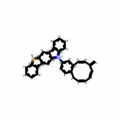 C=C1/C=C\C=C/Cc2ccc(-n3c4ccccc4c4cc5sc6ccccc6c5cc43)cc2/C=C\1